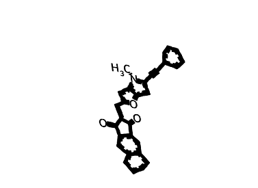 Cn1c(C#Cc2ccccc2)cc2oc(C=C3C(=O)c4cc5ccccc5cc4C3=O)cc21